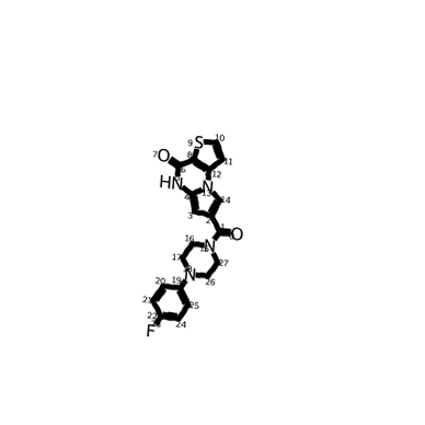 O=C(c1cc2[nH]c(=O)c3sccc3n2c1)N1CCN(c2ccc(F)cc2)CC1